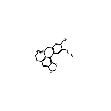 COc1cc2c(cc1O)C[C@@H]1NCCc3cc4c(c-2c31)OCO4